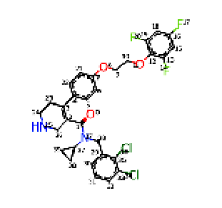 O=C(C1=C(c2ccc(OCCOc3c(F)cc(F)cc3F)cc2)CCNC1)N(Cc1cccc(Cl)c1Cl)C1CC1